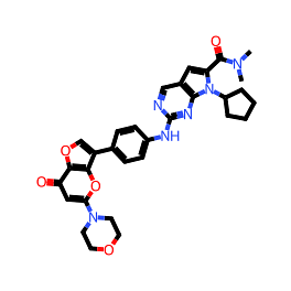 CN(C)C(=O)c1cc2cnc(Nc3ccc(-c4coc5c(=O)cc(N6CCOCC6)oc45)cc3)nc2n1C1CCCC1